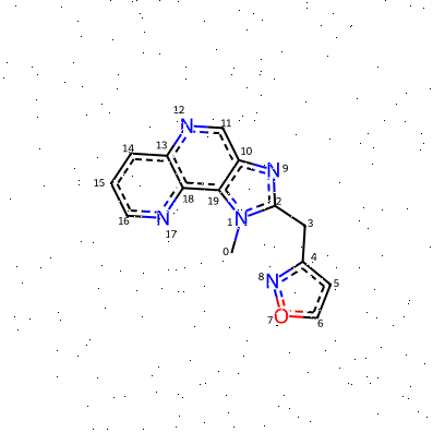 Cn1c(Cc2ccon2)nc2cnc3cccnc3c21